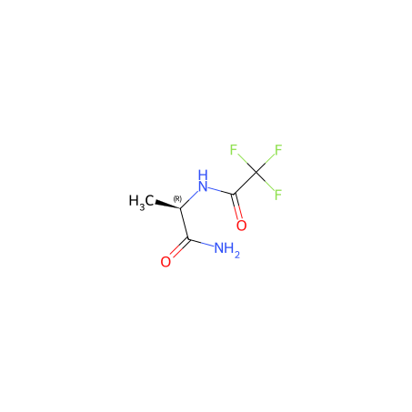 C[C@@H](NC(=O)C(F)(F)F)C(N)=O